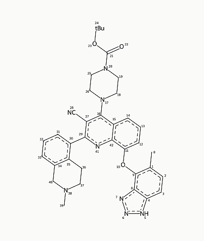 Cc1ccc2[nH]nnc2c1Oc1cccc2c(N3CCN(C(=O)OC(C)(C)C)CC3)c(C#N)c(-c3cccc4c3CCN(C)C4)nc12